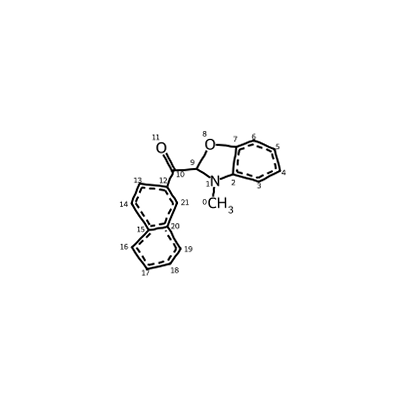 CN1c2ccccc2OC1C(=O)c1ccc2ccccc2c1